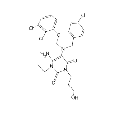 CCn1c(N)c(N(COc2cccc(Cl)c2Cl)Cc2ccc(Cl)cc2)c(=O)n(CCCO)c1=O